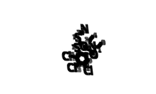 CCN(CC)S(=O)(=O)c1cc(Cl)c(Cl)c(Cl)c1SCSC#N